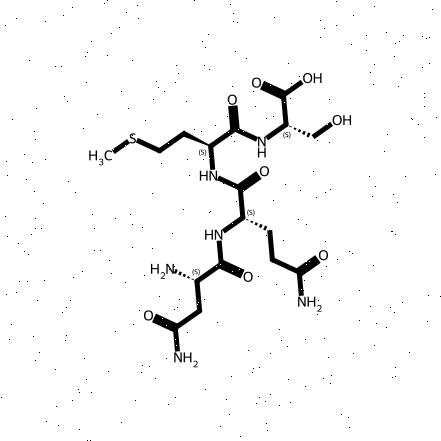 CSCC[C@H](NC(=O)[C@H](CCC(N)=O)NC(=O)[C@@H](N)CC(N)=O)C(=O)N[C@@H](CO)C(=O)O